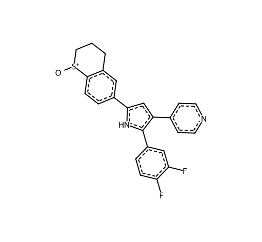 [O-][S+]1CCCc2cc(-c3cc(-c4ccncc4)c(-c4ccc(F)c(F)c4)[nH]3)ccc21